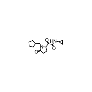 O=C(NC1CC1)C(=O)C1CCC(=O)N1CC1CCCC1